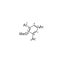 COc1c(C(C)=O)cc(C(C)=O)cc1C(C)=O